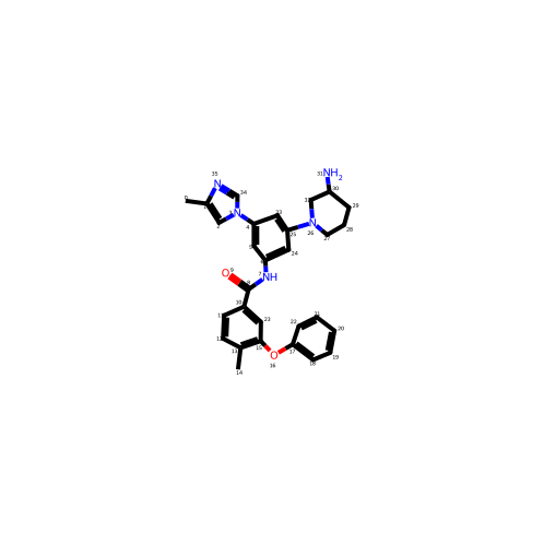 Cc1cn(-c2cc(NC(=O)c3ccc(C)c(Oc4ccccc4)c3)cc(N3CCCC(N)C3)c2)cn1